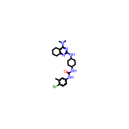 Cc1cc(NC(=O)NC2CCC(Nc3nc4c(c(N(C)C)n3)CCCC4)CC2)ccc1Br